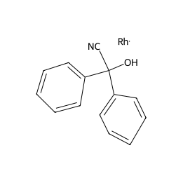 N#CC(O)(c1ccccc1)c1ccccc1.[Rh]